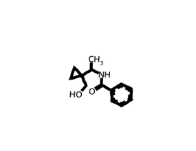 CC(NC(=O)c1ccccc1)C1(CO)CC1